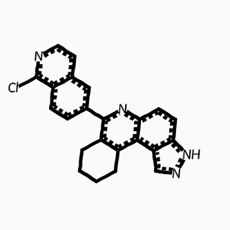 Clc1nccc2cc(-c3nc4ccc5[nH]ncc5c4c4c3CCCC4)ccc12